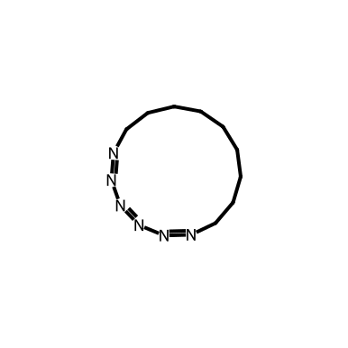 C1CCCCN=NN=NN=NCCCC1